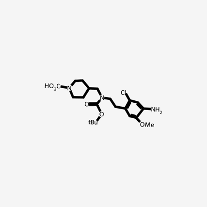 COc1cc(CCN(CC2CCN(C(=O)O)CC2)C(=O)OC(C)(C)C)c(Cl)cc1N